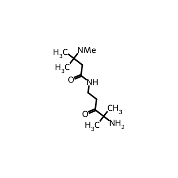 CNC(C)(C)CC(=O)NCCC(=O)C(C)(C)N